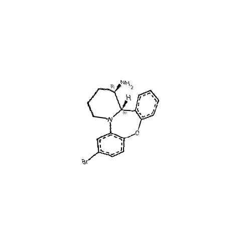 N[C@@H]1CCCN2c3cc(Br)ccc3Oc3ccccc3[C@@H]12